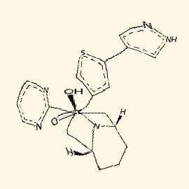 O=C(c1csc(-c2cn[nH]c2)c1)N1[C@@H]2CCC[C@H]1C[C@@](O)(c1ncccn1)C2